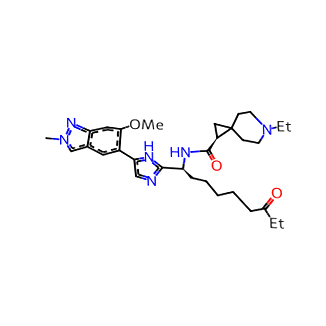 CCC(=O)CCCCC[C@H](NC(=O)[C@H]1CC12CCN(CC)CC2)c1ncc(-c2cc3cn(C)nc3cc2OC)[nH]1